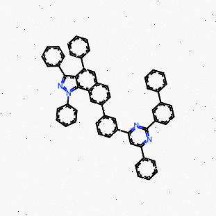 c1ccc(-c2cccc(-c3nc(-c4ccccc4)cc(-c4cccc(-c5ccc6cc(-c7ccccc7)c7c(-c8ccccc8)nn(-c8ccccc8)c7c6c5)c4)n3)c2)cc1